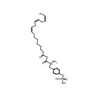 CC/C=C\C/C=C\C/C=C\CCCCCCCC(=O)OC(=O)[C@@H](N)Cc1ccc(OP(=O)(O)O)cc1